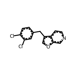 Clc1ccc(Cc2coc3cnccc23)cc1Cl